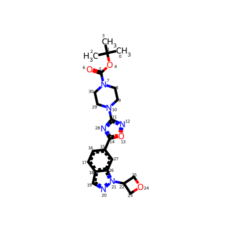 CC(C)(C)OC(=O)N1CCN(c2noc(-c3ccc4cnn(C5COC5)c4c3)n2)CC1